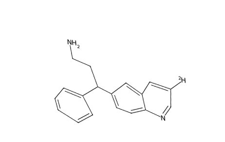 [2H]c1cnc2ccc(C(CCN)c3ccccc3)cc2c1